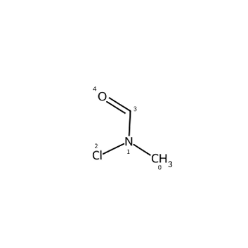 CN(Cl)C=O